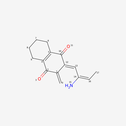 C=C1C(=O)C2=C(CCCC2)C(=O)/C1=C/C(N)=C\C